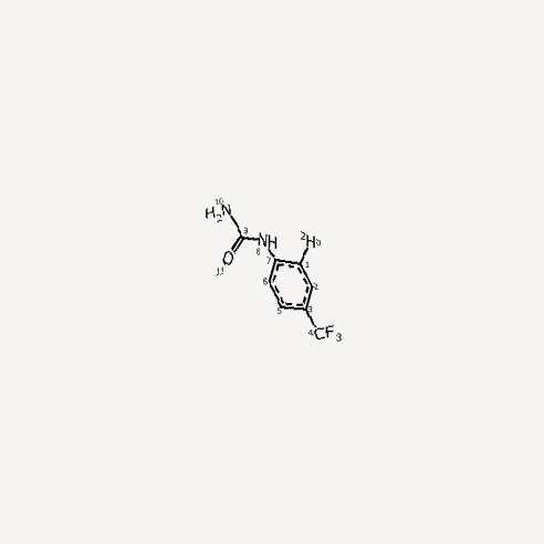 [2H]c1cc(C(F)(F)F)ccc1NC(N)=O